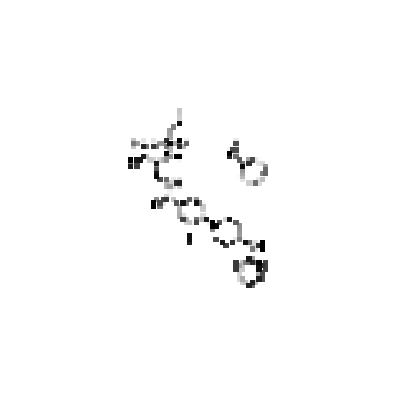 C=CCS(=O)(=O)N[C@@H](CNC(=O)c1ccc(N2CCC(Nc3ncccn3)CC2)c(F)c1)C(=O)O.COc1ccccc1